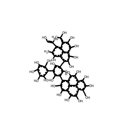 Bc1c(O)c2c(-c3c(O)c(-c4c(O)c(O)c(O)c(O)c4O)c(O)c(-c4c(O)c(O)c5c(O)c(O)c6c(O)c(O)c(O)c7c(O)c(O)c4c5c67)c3O)c(O)c(O)c3c(O)c(O)/c(=C(/C)O)c(c1/C(O)=C/O)c32